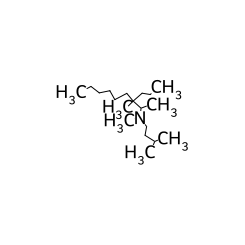 CCCCCCC(C)(CCC)C(C)N(C)CCC(C)C